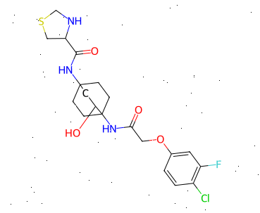 O=C(COc1ccc(Cl)c(F)c1)NC12CCC(NC(=O)C3CSCN3)(CC1)CC2O